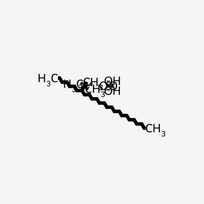 CCCCCCCCCCCCCCCCCCC(CCCCCCC)[N+](C)(C)C.O=S(=O)(O)O